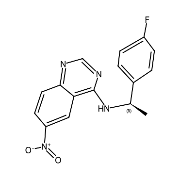 C[C@@H](Nc1ncnc2ccc([N+](=O)[O-])cc12)c1ccc(F)cc1